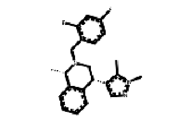 Cc1c([C@H]2CN(Cc3ccc(F)cc3F)[C@@H](C)c3ccccc32)cnn1C